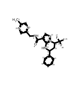 Cc1cnc(CNC(=O)c2cnn3c2NC(c2ccccc2)CC3C(F)(F)F)cn1